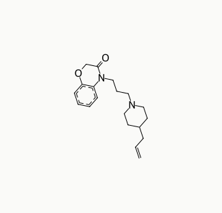 C=CCC1CCN(CCCN2C(=O)COc3ccccc32)CC1